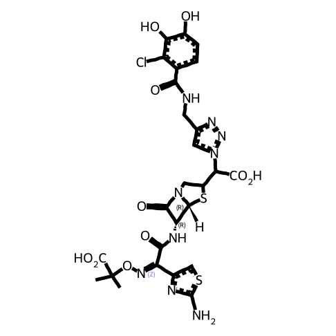 CC(C)(O/N=C(\C(=O)N[C@@H]1C(=O)N2CC(C(C(=O)O)n3cc(CNC(=O)c4ccc(O)c(O)c4Cl)nn3)S[C@H]12)c1csc(N)n1)C(=O)O